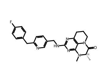 C[C@H]1C(=O)N2CCCc3nc(NCc4ccc(Cc5ccc(F)cc5)nc4)nc(c32)N1C